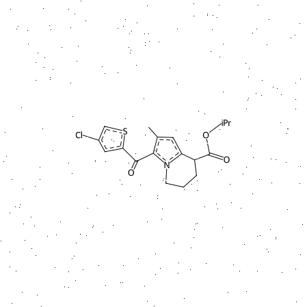 Cc1cc2n(c1C(=O)c1cc(Cl)cs1)CCCC2C(=O)OC(C)C